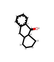 O=C1c2ccccc2CC2CCCCC12